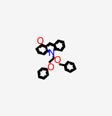 O=c1cccc2n(C(COc3ccccc3)OCc3ccccc3)c3ccccc3cc1-2